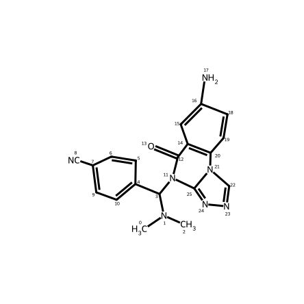 CN(C)C(c1ccc(C#N)cc1)n1c(=O)c2cc(N)ccc2n2cnnc12